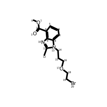 COC(=O)c1cccc2c1nc(C)n2CCCOCCBr